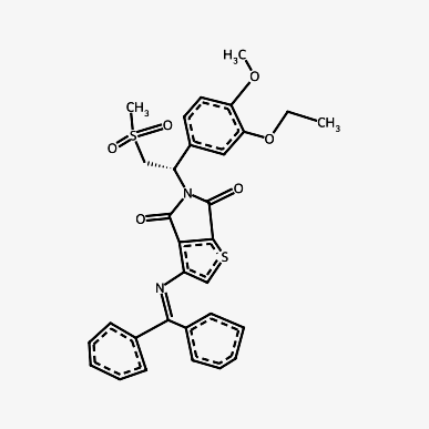 CCOc1cc([C@@H](CS(C)(=O)=O)N2C(=O)c3scc(N=C(c4ccccc4)c4ccccc4)c3C2=O)ccc1OC